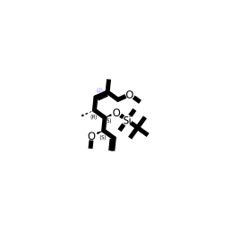 C=C[C@H](OC)[C@@H](O[Si](C)(C)C(C)(C)C)[C@H](C)/C=C(/C)COC